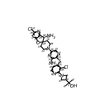 CC(C)(O)C1CN(c2nccc(Sc3ncc(N4CCC5(CC4)Oc4sc(Cl)nc4[C@H]5N)nc3N)c2Cl)C1